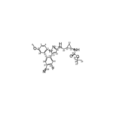 COc1ccc(-n2nc(NCC3C[C@H]3NC(=O)OC(C)(C)C)cc2-c2ccc(C#N)c(F)c2)cc1